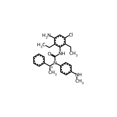 CCc1c(N)cc(Cl)c(CC)c1NC(=O)N(c1ccc(NC)cc1)[C@@H](C)c1ccccc1